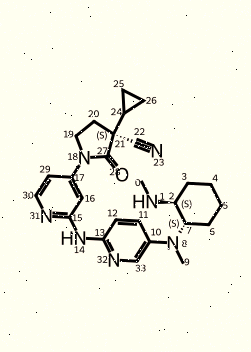 CN[C@H]1CCCC[C@@H]1N(C)c1ccc(Nc2cc(N3CC[C@@](C#N)(C4CC4)C3=O)ccn2)nc1